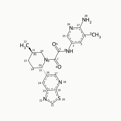 Cc1cc(NC(=O)C(=O)N2C[C@H](C)CC[C@H]2c2cnc3scnc3c2)cnc1N